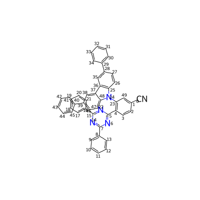 N#Cc1ccc(-c2nc(-c3ccccc3)nc(-c3ccccc3)n2)c(-n2c3ccc(-c4ccccc4)cc3c3cc(-c4ccccc4)ccc32)c1